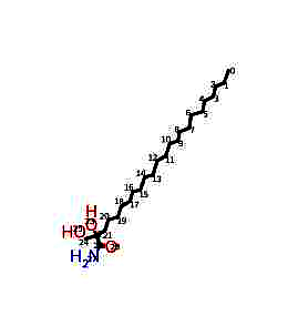 CCCCCCCCCCCCCCCCCCCCCCC(O)(CO)C(N)=O